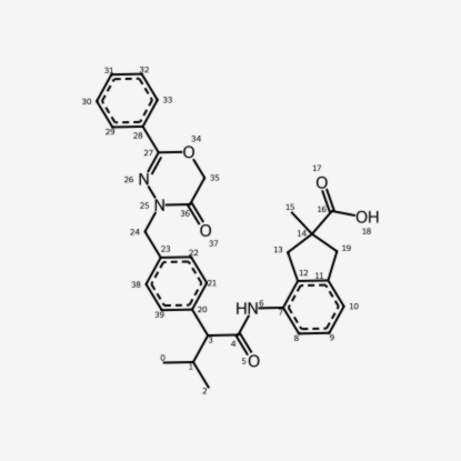 CC(C)C(C(=O)Nc1cccc2c1CC(C)(C(=O)O)C2)c1ccc(CN2N=C(c3ccccc3)OCC2=O)cc1